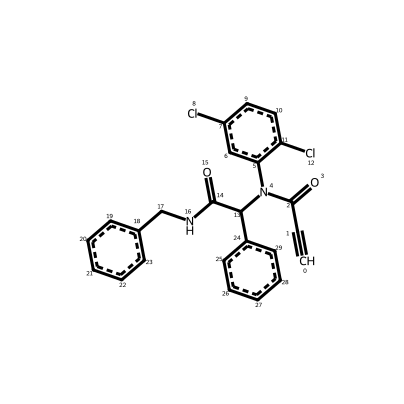 C#CC(=O)N(c1cc(Cl)ccc1Cl)C(C(=O)NCc1ccccc1)c1ccccc1